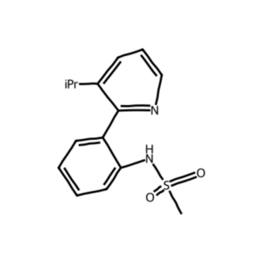 CC(C)c1cccnc1-c1ccccc1NS(C)(=O)=O